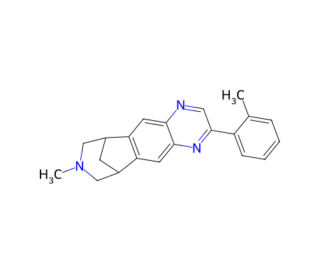 Cc1ccccc1-c1cnc2cc3c(cc2n1)C1CC3CN(C)C1